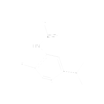 CC(C)c1ccc(F)c(NC(=O)O)c1